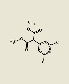 COC(=O)C(C(=O)OC)c1cc(Cl)nc(Cl)c1